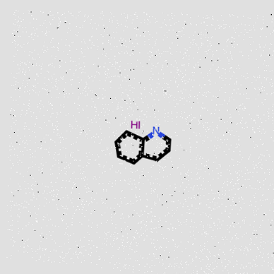 I.c1ccc2ncccc2c1